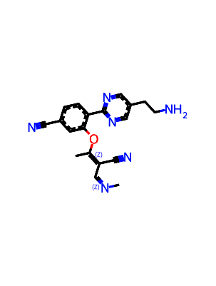 C/N=C\C(C#N)=C(/C)Oc1cc(C#N)ccc1-c1ncc(CCN)cn1